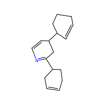 C1=CC(C2C=CN=C(C3CC=CCC3)C2)CCC1